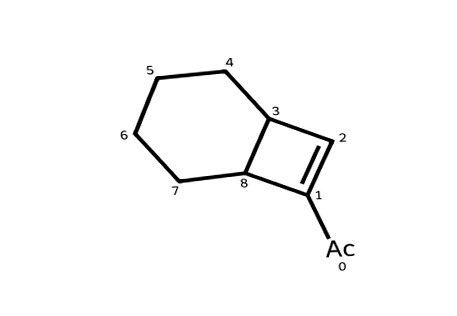 CC(=O)C1=CC2CCCCC12